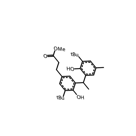 COC(=O)CCc1cc(C(C)c2cc(C)cc(C(C)(C)C)c2O)c(O)c(C(C)(C)C)c1